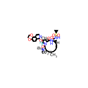 CCC(C)N(C(=O)O)[C@@H]1C(=O)N2[C@@H](C[C@@](C)(Oc3nccc4c5c(ccc34)OCCO5)C2(F)F)C(=O)N[C@]2(C(=O)NS(=O)(=O)C3CC3)C[C@H]2/C=C\CC[C@H](C)C[C@H]1CC